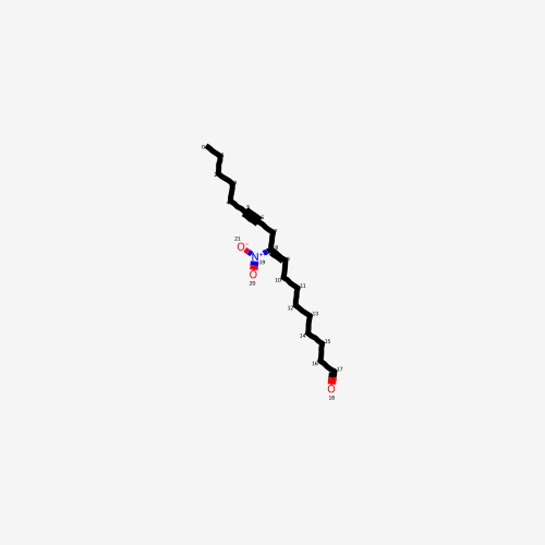 CCCCCC#CC/C(=C/CCCCCCC[C]=O)[N+](=O)[O-]